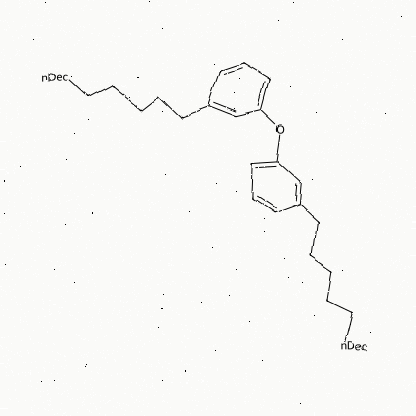 CCCCCCCCCCCCCCCc1cccc(Oc2cccc(CCCCCCCCCCCCCCC)c2)c1